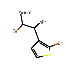 CCCCCCCC(Br)C(CCC)c1ccsc1Br